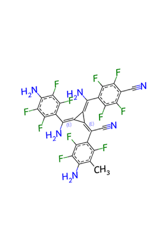 Cc1c(N)c(F)c(F)c(/C(C#N)=C2/C(=C(N)c3c(F)c(F)c(C#N)c(F)c3F)/C2=C(/N)c2c(F)c(F)c(N)c(F)c2F)c1F